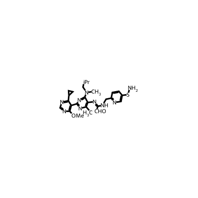 COc1ncnc(C2CC2)c1-c1nc(C)c(/N=C(\C=O)NCc2ccc(SN)cn2)c(N(C)CC(C)C)n1